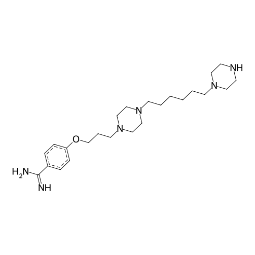 N=C(N)c1ccc(OCCCN2CCN(CCCCCCN3CCNCC3)CC2)cc1